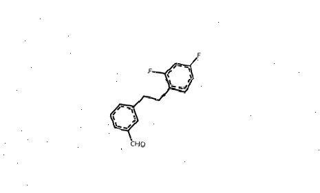 O=Cc1cccc(CCc2ccc(F)cc2F)c1